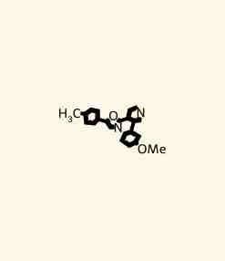 COc1cccc(-c2cnccc2-c2ncc(-c3ccc(C)cc3)o2)c1